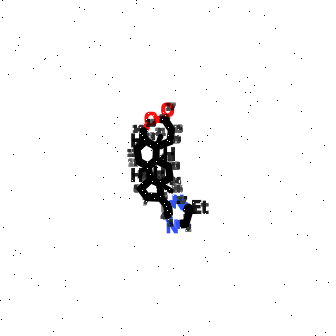 CCc1cncc(C2=CC[C@H]3[C@@H]4CC[C@H]5COC(=O)CC[C@]5(C)[C@H]4CC[C@]23C)n1